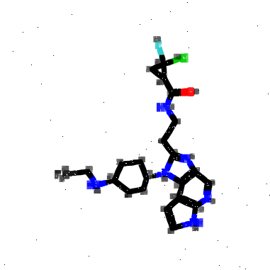 O=C(NCCc1nc2cnc3[nH]ccc3c2n1[C@H]1CC[C@H](NCC(F)(F)F)CC1)C1CC1(F)Cl